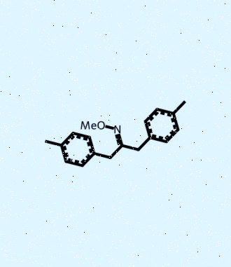 CON=C(Cc1ccc(C)cc1)Cc1ccc(C)cc1